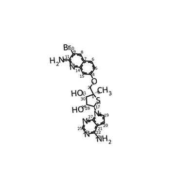 C[C@]1(COc2ccc3cc(Br)c(N)nc3c2)S[C@@H](n2ccc3c(N)ncnc32)[C@H](O)[C@@H]1O